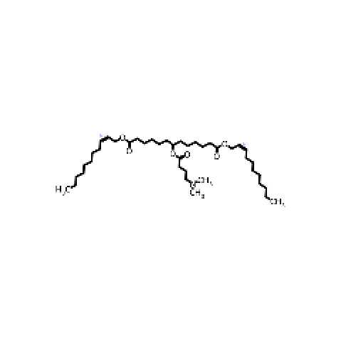 CCCCCCCC/C=C\COC(=O)CCCCCC(CCCCCC(=O)OC/C=C\CCCCCCCC)OC(=O)CCCN(C)C